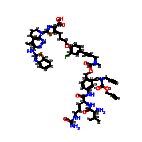 C#CCOC(=O)N(CC#C)Cc1cc(NC(=O)[C@H](CCCNC(N)=O)NC(=O)[C@@H](N)C(C)C)ccc1COC(=O)N(C)CC#Cc1ccc(OCCCc2sc(N3CCCc4c3nnc(Nc3nc5ccccc5s3)c4C)nc2C(=O)O)c(F)c1